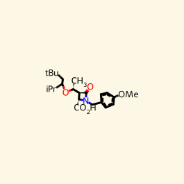 COc1ccc(CN2C(=O)[C@H]([C@@H](C)OC(CC(C)(C)C)C(C)C)[C@H]2C(=O)O)cc1